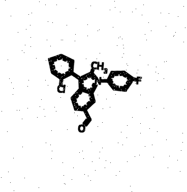 Cc1c(-c2ccccc2Cl)c2ccc(C=O)cc2n1-c1ccc(F)cc1